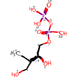 C/C(CO)=C(/O)COP(=O)(O)OP(=O)(O)O